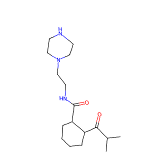 CC(C)C(=O)C1CCCCC1C(=O)NCCN1CCNCC1